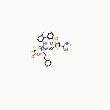 CSc1sc(C(=N)N)cc1S(=O)(=O)c1cccc(-c2c(C)cccc2NC(=O)NCCCc2ccccc2)c1.O=C(O)C(F)(F)F